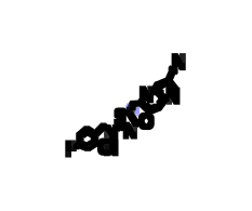 N#Cc1cnc2ccc(/C=C3/SC(NCc4ccc(F)cc4Cl)=NC3=O)nc2c1